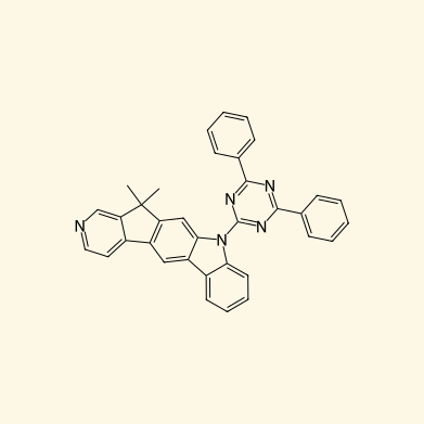 CC1(C)c2cnccc2-c2cc3c4ccccc4n(-c4nc(-c5ccccc5)nc(-c5ccccc5)n4)c3cc21